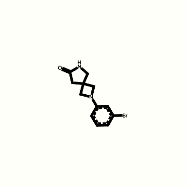 O=C1CC2(CN1)CN(c1cccc(Br)c1)C2